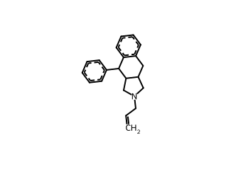 C=CCN1CC2Cc3ccccc3C(c3ccccc3)C2C1